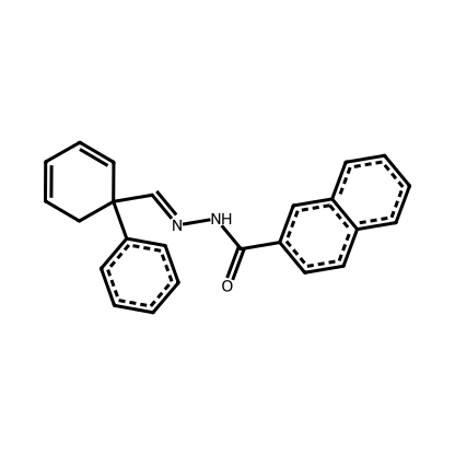 O=C(NN=CC1(c2ccccc2)C=CC=CC1)c1ccc2ccccc2c1